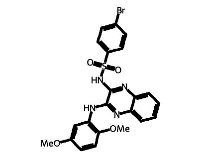 COc1ccc(OC)c(Nc2nc3ccccc3nc2NS(=O)(=O)c2ccc(Br)cc2)c1